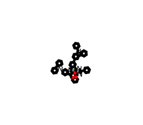 c1ccc(-c2nc(-c3ccccc3)nc(-c3cc(-c4ccc5c(c4)c4ccccc4n5-c4ccccc4)ccc3-n3c4ccccc4c4ccc(-n5c6ccccc6c6ccccc65)cc43)n2)cc1